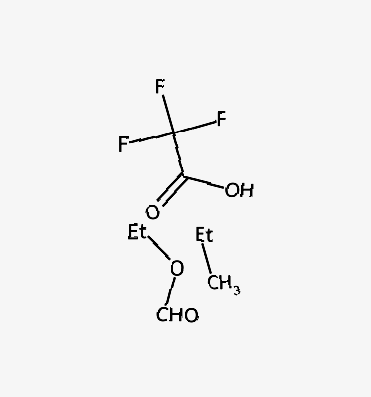 CCC.CCOC=O.O=C(O)C(F)(F)F